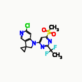 CC(F)(F)c1nc(N2CC3(CC3)c3cnc(Cl)cc32)cc(S(C)(=O)=O)n1